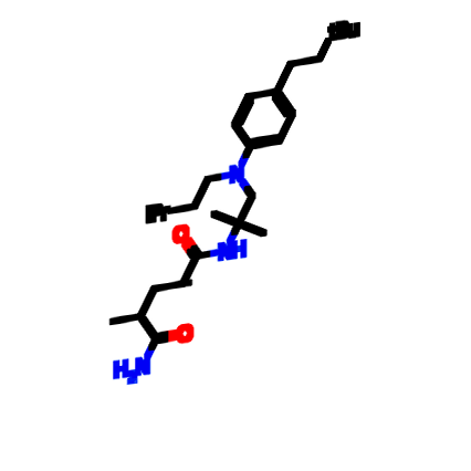 CC(C)CCN(CC(C)(C)NC(=O)[CH]CC(C)C(N)=O)c1ccc(CCC(C)(C)C)cc1